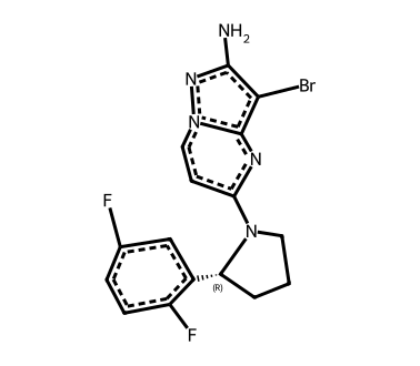 Nc1nn2ccc(N3CCC[C@@H]3c3cc(F)ccc3F)nc2c1Br